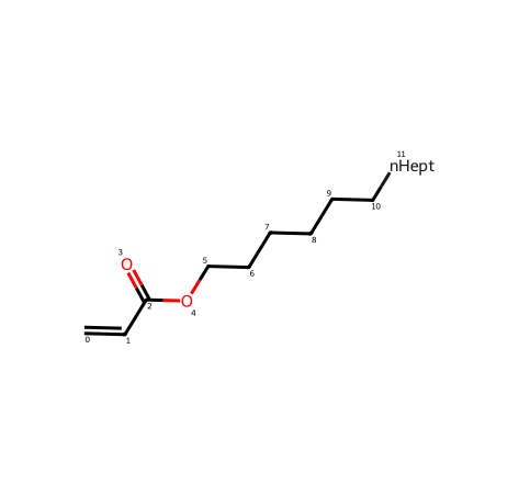 C=CC(=O)OCCCCCCCCCCCCC